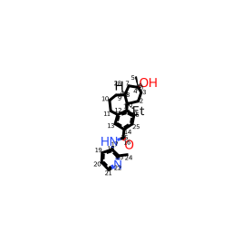 CC[C@@]12CC[C@@](C)(O)C[C@@H]1CCCc1cc(C(=O)Nc3cccnc3C)ccc12